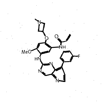 C=CC(=O)Nc1cc(Nc2ncc3nccc(-c4cccc(F)c4)c3n2)c(OC)cc1OC1CN(C)C1